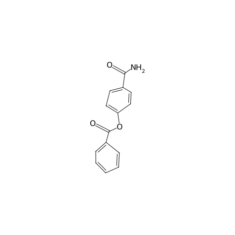 NC(=O)c1ccc(OC(=O)c2ccccc2)cc1